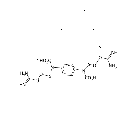 N=C(N)OOSN(C(=O)O)c1ccc(N(SOOC(=N)N)C(=O)O)cc1